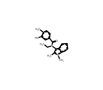 CCN(C(=O)c1ccc(C)c(O)c1)c1c(C)n(C)c2ccccc12